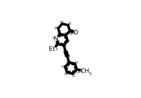 CCc1nc2c(cc1C#Cc1cccc(C)c1)C(=O)CCC2